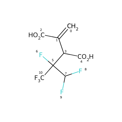 C=C(C(=O)O)C(C(=O)O)C(F)(C(F)F)C(F)(F)F